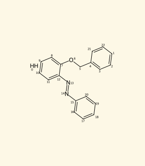 [HH].c1ccc(COc2ccccc2N=Nc2ccccc2)cc1